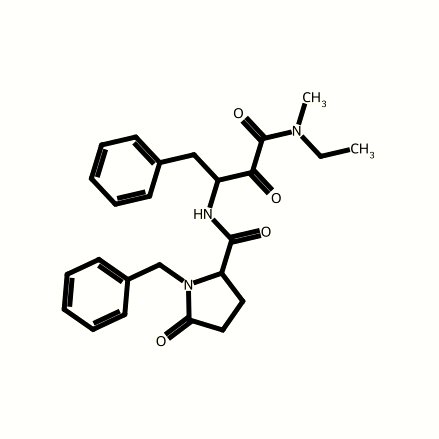 CCN(C)C(=O)C(=O)C(Cc1ccccc1)NC(=O)C1CCC(=O)N1Cc1ccccc1